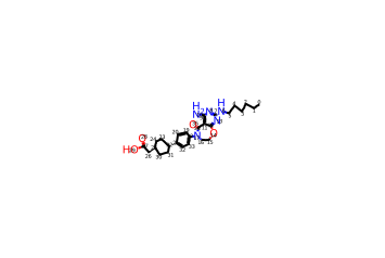 CCCCCCNc1nc(N)c2c(n1)OCCN(c1ccc([C@H]3CC[C@H](CC(=O)O)CC3)cc1)C2=O